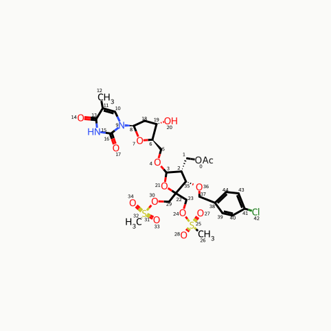 CC(=O)OC[C@H]1C(OC[C@H]2O[C@@H](n3cc(C)c(=O)[nH]c3=O)C[C@@H]2O)OC(COS(C)(=O)=O)(COS(C)(=O)=O)[C@H]1OCc1ccc(Cl)cc1